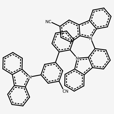 N#Cc1cc(-c2ccccc2-n2c3ccccc3c3cccc(-n4c5ccccc5c5cc(C#N)ccc54)c32)cc(-n2c3ccccc3c3ccccc32)c1